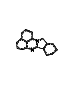 C1=[n+]2c(nc3cccc4cccc2c43)-c2ccccc21